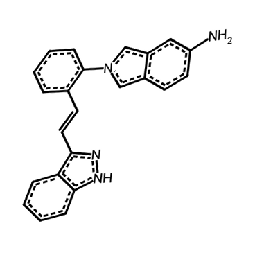 Nc1ccc2cn(-c3ccccc3C=Cc3n[nH]c4ccccc34)cc2c1